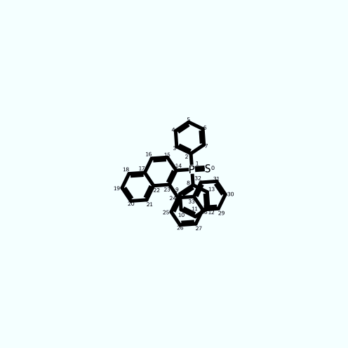 S=P(c1ccccc1)(c1ccccc1)c1ccc2ccccc2c1-c1cccc2ccccc12